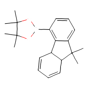 CC1(C)c2cccc(B3OC(C)(C)C(C)(C)O3)c2C2C=CC=CC21